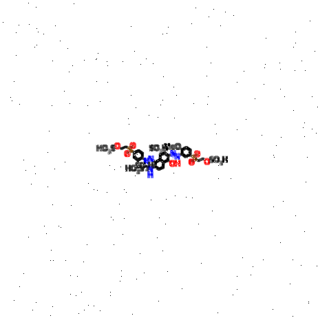 COc1ccc(S(=O)(=O)CCOS(=O)(=O)O)cc1/N=N/c1c(S(=O)(=O)O)cc2c(/N=N/c3ccc(S(=O)(=O)CCOS(=O)(=O)O)cc3S(=O)(=O)O)c(NCS(=O)(=O)O)ccc2c1O